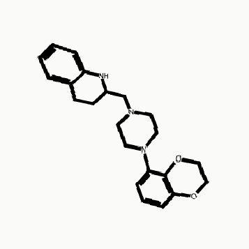 c1ccc2c(c1)CCC(CN1CCN(c3cccc4c3OCCO4)CC1)N2